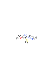 CCSc1cc(OC(C)(C)C#N)cnc1NC(=O)O